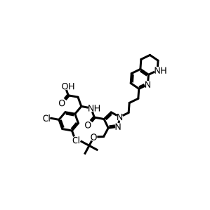 CC(C)(C)OCc1nn(CCCc2ccc3c(n2)NCCC3)cc1C(=O)NC(CC(=O)O)c1cc(Cl)cc(Cl)c1